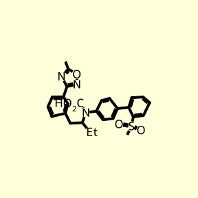 CCC(Cc1cccc(-c2noc(C)n2)c1)N(C(=O)O)c1ccc(-c2ccccc2S(C)(=O)=O)cc1